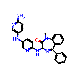 CN1C(=O)C(Nc2ccc(Nc3ccc(N)nc3)cn2)N=C(c2ccccc2)c2ccccc21